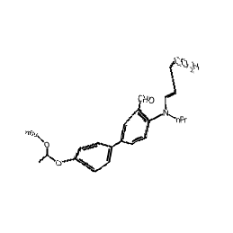 CCCCOC(C)Oc1ccc(-c2ccc(N(CCC)CCCC(=O)O)c(C=O)c2)cc1